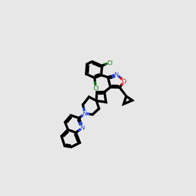 Clc1cccc(Cl)c1-c1noc(C2CC2)c1C1=CC2(CCN(c3ccc4ccccc4n3)CC2)C1